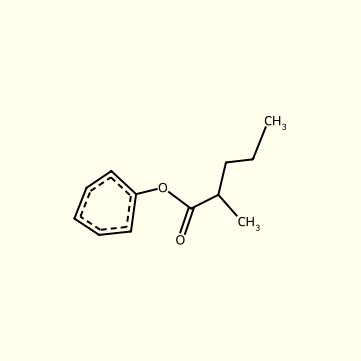 CCCC(C)C(=O)Oc1ccccc1